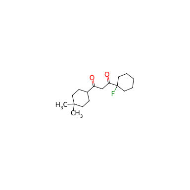 CC1(C)CCC(C(=O)CC(=O)C2(F)CCCCC2)CC1